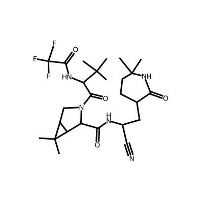 CC1(C)CCC(CC(C#N)NC(=O)C2C3C(CN2C(=O)C(NC(=O)C(F)(F)F)C(C)(C)C)C3(C)C)C(=O)N1